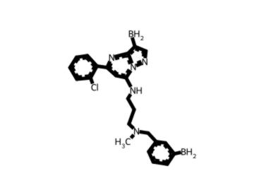 Bc1cccc(CN(C)CCCNc2cc(-c3ccccc3Cl)nc3c(B)cnn23)c1